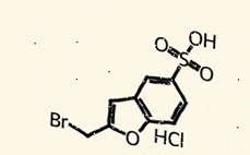 Cl.O=S(=O)(O)c1ccc2oc(CBr)cc2c1